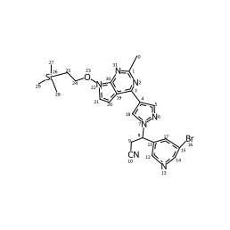 Cc1nc(-c2cnn(C(CC#N)c3cncc(Br)c3)c2)c2ccn(OCC[Si](C)(C)C)c2n1